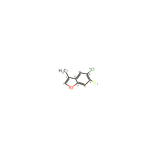 Cc1coc2cc(F)c(Cl)cc12